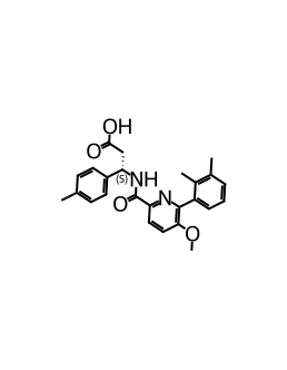 COc1ccc(C(=O)N[C@@H](CC(=O)O)c2ccc(C)cc2)nc1-c1cccc(C)c1C